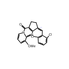 COc1cccn2c(=O)c3c(nc12)/C(=C\c1c(Cl)cccc1Cl)CC3